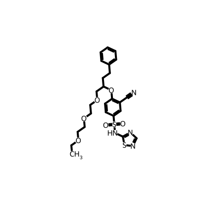 CCOCCOCCOCC(CCc1ccccc1)Oc1ccc(S(=O)(=O)Nc2ncns2)cc1C#N